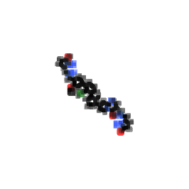 Cc1c(-c2ccn3c(=O)c(CNC[C@H]4CCC(=O)N4)cnc3c2)cccc1-c1cccc(-c2ccc(CNC[C@@H]3CCC(=O)N3)c(OC(F)(F)F)c2)c1Cl